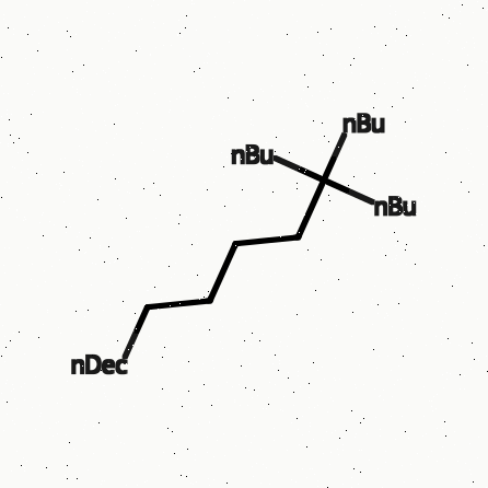 CCCCCCCCCCCCCCC(CCCC)(CCCC)CCCC